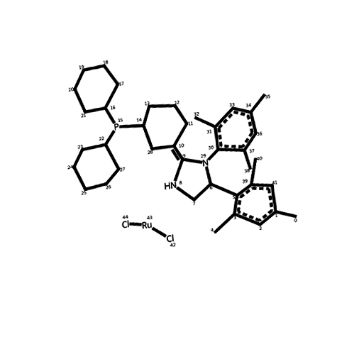 Cc1cc(C)c(C2CNC(=C3CCCC(P(C4CCCCC4)C4CCCCC4)C3)N2c2c(C)cc(C)cc2C)c(C)c1.[Cl][Ru][Cl]